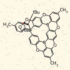 Cc1cc2c3c(c1)Oc1cc4c(cc1B3c1cc(C(C)(C)C)ccc1O2)B1c2cc3c(cc2Oc2cc(C)cc(c21)O4)Oc1cc(C)cc2c1B3c1cc(C(C)(C)C)ccc1O2